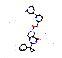 O=C(C(O)c1cccc(-c2ccnc(C(F)(F)F)c2)n1)N1CCc2nc(C3(c4ccccc4)CC3)[nH]c(=O)c2C1